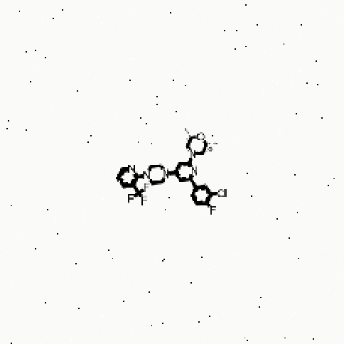 C[C@@H]1CN(c2cc(N3CCN(c4ncccc4C(F)(F)F)CC3)cc(-c3ccc(F)c(Cl)c3)n2)C[C@H](C)O1